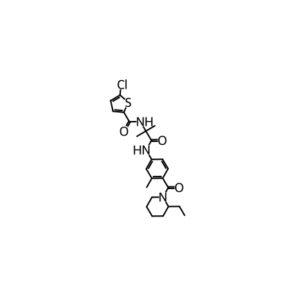 CCC1CCCCN1C(=O)c1ccc(NC(=O)C(C)(C)NC(=O)c2ccc(Cl)s2)cc1C